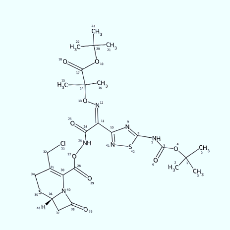 CC(C)(C)OC(=O)Nc1nc(/C(=N/OC(C)(C)C(=O)OC(C)(C)C)C(=O)NOC(=O)C2=C(CCl)CS[C@H]3CC(=O)N23)ns1